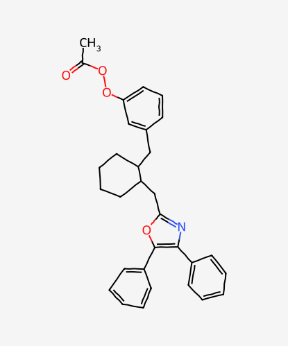 CC(=O)OOc1cccc(CC2CCCCC2Cc2nc(-c3ccccc3)c(-c3ccccc3)o2)c1